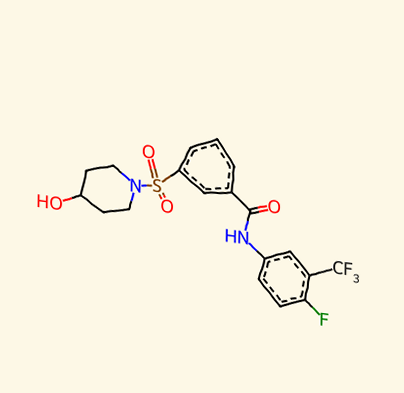 O=C(Nc1ccc(F)c(C(F)(F)F)c1)c1cccc(S(=O)(=O)N2CCC(O)CC2)c1